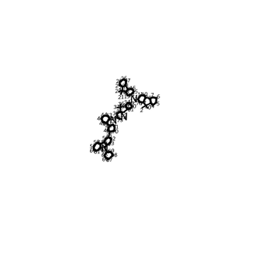 CC1(C)c2ccccc2-c2ccc(N(c3ccc4c(c3)C(C)(C)c3ccccc3-4)c3ccc4c(c3)C(C)(C)c3cc(-n5c6ccccc6c6cc(-c7ccc8c(c7)c7ccccc7n8-c7ccccc7)ccc65)cnc3-4)cc21